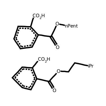 CC(C)CCOC(=O)c1ccccc1C(=O)O.CCCCCOC(=O)c1ccccc1C(=O)O